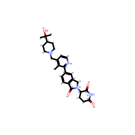 Cc1c(CN2CCC(C(C)(C)O)CC2)ccnc1-c1ccc2c(c1)CN(C1CCC(=O)NC1=O)C2=O